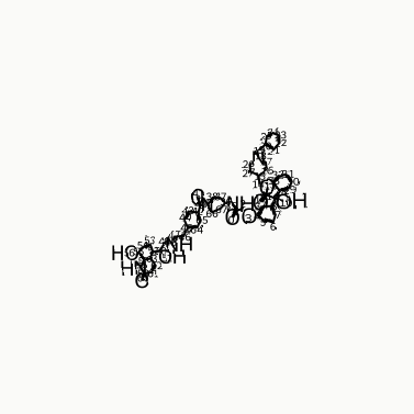 O=C(COc1cccc([C@](O)(C(=O)OCC2CCN(Cc3ccccc3)CC2)c2ccccc2)c1)NC1CCN(C(=O)c2ccc(CCNC[C@H](O)c3ccc(O)c4[nH]c(=O)ccc34)cc2)CC1